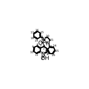 O=P1(C(C/C=N/O)c2ccccc2)N(c2ccccc2)CCN1c1ccccc1